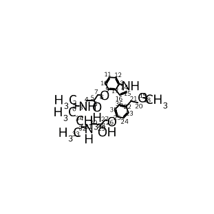 CC(C)NCC(O)COc1cccc2[nH]ccc12.COCCc1ccc(OCC(O)CNC(C)C)cc1